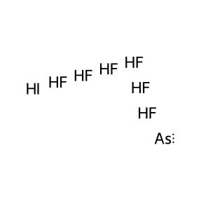 F.F.F.F.F.F.I.[As]